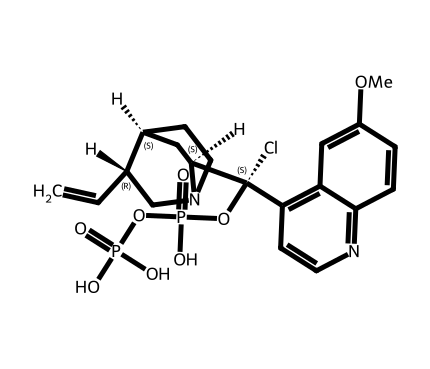 C=C[C@H]1CN2CC[C@H]1C[C@H]2[C@](Cl)(OP(=O)(O)OP(=O)(O)O)c1ccnc2ccc(OC)cc12